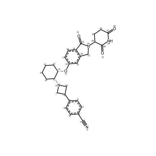 N#Cc1ccc(C2CN([C@@H]3CCCC[C@@H]3Oc3ccc4c(c3)CN(C3CCC(=O)NC3=O)C4=O)C2)cc1